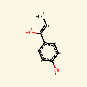 CC=C(O)c1ccc(O)cc1